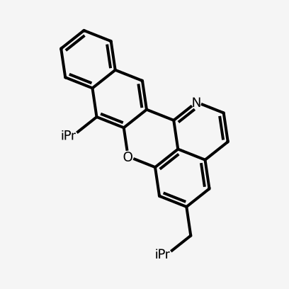 CC(C)Cc1cc2c3c(nccc3c1)-c1cc3ccccc3c(C(C)C)c1O2